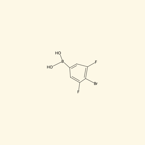 OB(O)c1cc(F)c(Br)c(F)c1